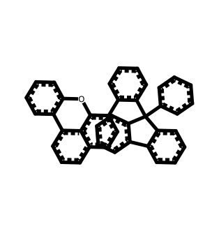 c1ccc(C2(c3ccccc3-c3ccc4cccc5c4c3Oc3ccccc3-5)c3ccccc3-c3ccccc32)cc1